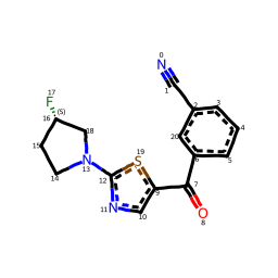 N#Cc1cccc(C(=O)c2cnc(N3CC[C@H](F)C3)s2)c1